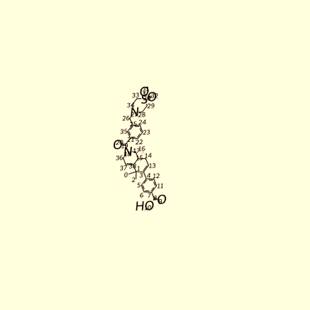 CC1(C)C(c2ccc(C(=O)O)cc2)=CC[C@]2(C)CN(C(=O)c3cccc(CN4CCS(=O)(=O)CC4)c3)CC=C12